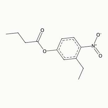 CCCC(=O)Oc1ccc([N+](=O)[O-])c(CC)c1